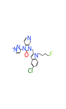 Cn1ccc(-n2c(=O)n(Cc3cc4cc(Cl)ccc4n3CCCCF)c3cnccc32)n1